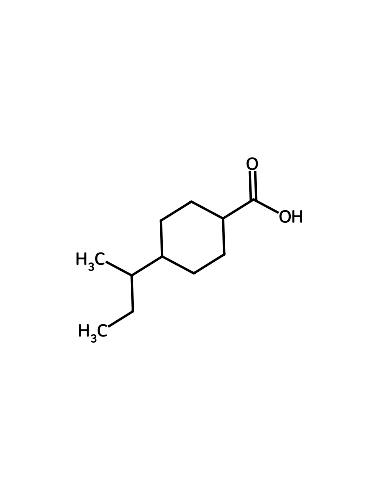 CCC(C)C1CCC(C(=O)O)CC1